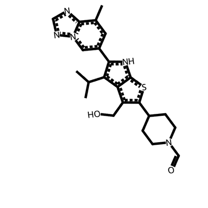 Cc1cc(-c2[nH]c3sc(C4CCN(C=O)CC4)c(CO)c3c2C(C)C)cn2ncnc12